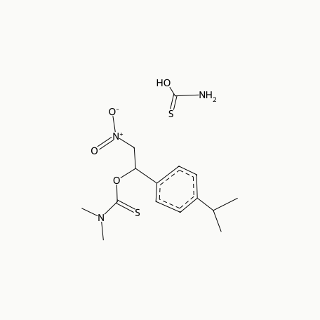 CC(C)c1ccc(C(C[N+](=O)[O-])OC(=S)N(C)C)cc1.NC(O)=S